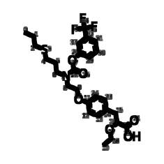 CCCSCCCN(CCOc1ccc(CC(OCC)C(=O)O)cc1)C(=O)Oc1cccc(C(F)(F)F)c1